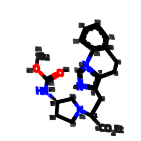 CCOC(=O)C(Cc1ncn2c1CCc1ccccc1-2)N1CC[C@H](NC(=O)OC(C)(C)C)C1